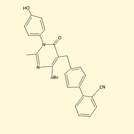 CCCCc1nc(C)n(-c2ccc(O)cc2)c(=O)c1Cc1ccc(-c2ccccc2C#N)cc1